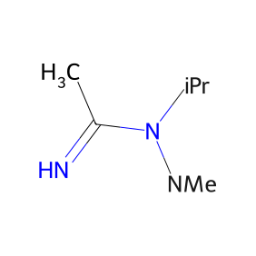 CNN(C(C)=N)C(C)C